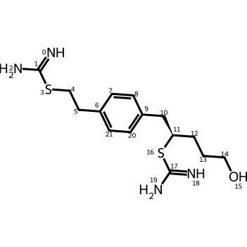 N=C(N)SCCc1ccc(C[C@@H](CCCO)SC(=N)N)cc1